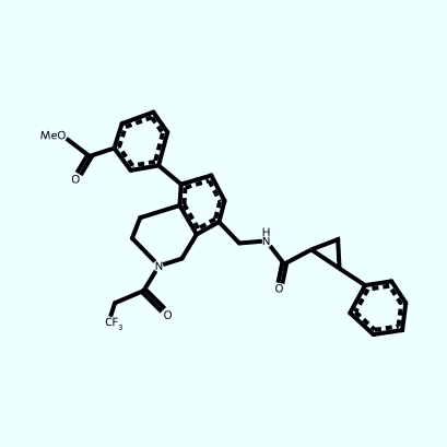 COC(=O)c1cccc(-c2ccc(CNC(=O)C3CC3c3ccccc3)c3c2CCN(C(=O)CC(F)(F)F)C3)c1